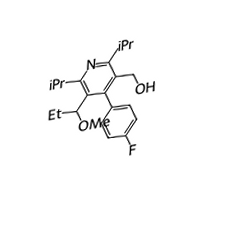 CCC(OC)c1c(C(C)C)nc(C(C)C)c(CO)c1-c1ccc(F)cc1